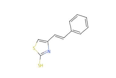 Sc1nc(C=Cc2ccccc2)cs1